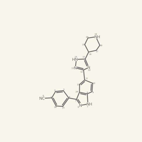 N#Cc1ccc(-c2n[nH]c3ccc(-c4n[nH]c(C5CCNCC5)n4)cc23)cc1